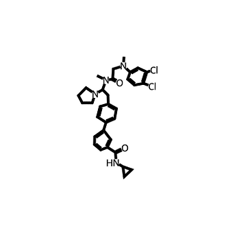 CN(CC(=O)N(C)C(Cc1ccc(-c2cccc(C(=O)NC3CC3)c2)cc1)N1CCCC1)c1ccc(Cl)c(Cl)c1